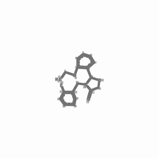 CCOc1ccccc1C1OCC(=O)N1Cc1ccccc1F